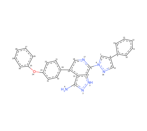 Nc1n[nH]c2c(-n3cc(-c4ccccc4)cn3)ncc(-c3ccc(Oc4ccccc4)cc3)c12